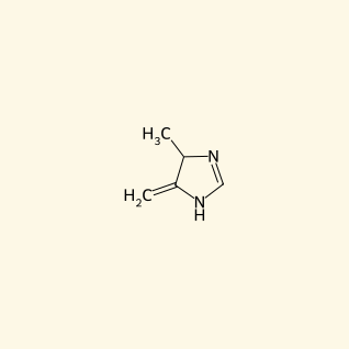 C=C1NC=NC1C